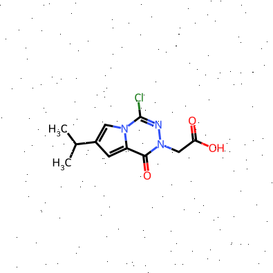 CC(C)c1cc2c(=O)n(CC(=O)O)nc(Cl)n2c1